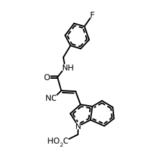 N#C/C(=C\c1cn(CC(=O)O)c2ccccc12)C(=O)NCc1ccc(F)cc1